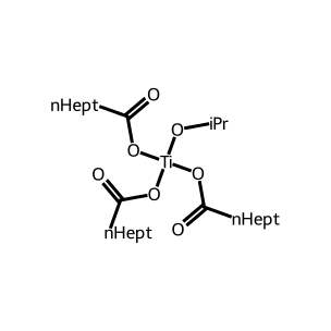 CCCCCCCC(=O)[O][Ti]([O]C(=O)CCCCCCC)([O]C(=O)CCCCCCC)[O]C(C)C